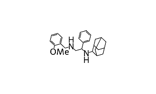 COc1ccccc1CNCC(NC1C2CC3CC(C2)CC1C3)c1ccccc1